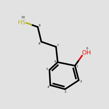 Oc1ccccc1CCCS